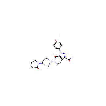 COc1ccc(-n2nc(C(N)=O)c3c2C(=O)N(N2CCC(N4CCCCC4=O)CC2)CC3)cc1